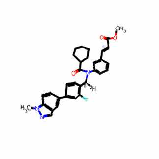 [2H][C@@H](c1ccc(-c2ccc3c(cnn3C)c2)cc1F)N(C(=O)C1CCCCC1)c1cccc(/C=C/C(=O)OC)c1